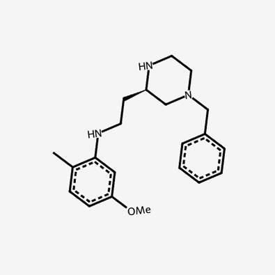 COc1ccc(C)c(NCC[C@@H]2CN(Cc3ccccc3)CCN2)c1